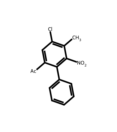 CC(=O)c1cc(Cl)c(C)c([N+](=O)[O-])c1-c1ccccc1